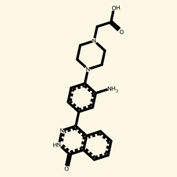 Nc1cc(-c2n[nH]c(=O)c3ccccc23)ccc1N1CCN(CC(=O)O)CC1